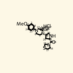 COc1ccc(N2CCN([C@@H]3CN[C@H](C(=O)N4CCSC4)C3)CC2)cc1.Cl.Cl.Cl